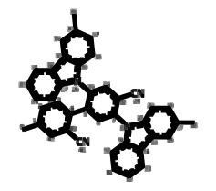 Cc1ccc(-c2cc(-n3c4ccccc4c4cc(C)ccc43)c(C#N)cc2-n2c3ccccc3c3cc(C)ccc32)c(C#N)c1